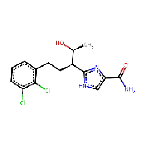 C[C@H](O)[C@H](CCc1cccc(Cl)c1Cl)c1nc(C(N)=O)c[nH]1